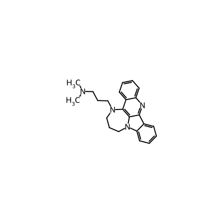 CN(C)CCCN1CCCn2c3ccccc3c3nc4ccccc4c1c32